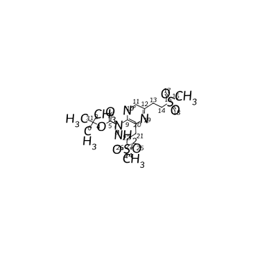 CC(C)(C)OC(=O)N(N)c1ncc(CCS(C)(=O)=O)nc1CCS(C)(=O)=O